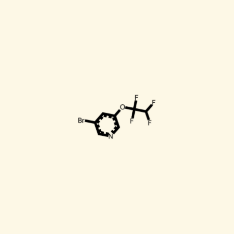 FC(F)C(F)(F)Oc1cncc(Br)c1